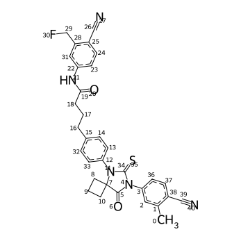 Cc1cc(N2C(=O)C3(CCC3)N(c3ccc(CCCC(=O)Nc4ccc(C#N)c(CF)c4)cc3)C2=S)ccc1C#N